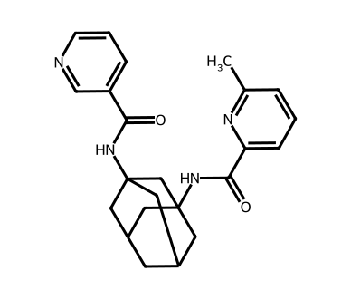 Cc1cccc(C(=O)NC23CC4CC(CC(NC(=O)c5cccnc5)(C4)C2)C3)n1